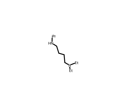 CCN(CC)CCCCNC(C)C